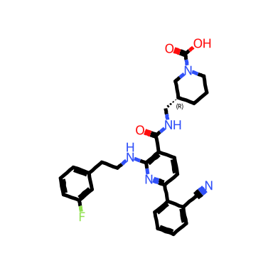 N#Cc1ccccc1-c1ccc(C(=O)NC[C@H]2CCCN(C(=O)O)C2)c(NCCc2cccc(F)c2)n1